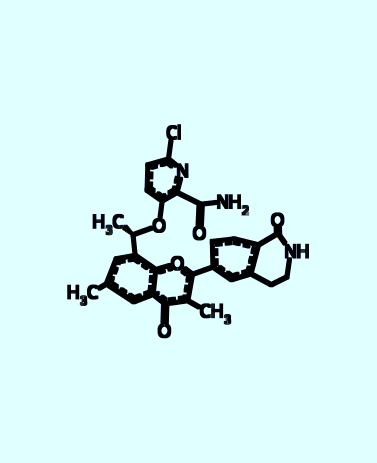 Cc1cc([C@@H](C)Oc2ccc(Cl)nc2C(N)=O)c2oc(-c3ccc4c(c3)CCNC4=O)c(C)c(=O)c2c1